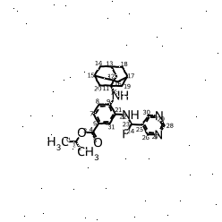 CC(C)OC(=O)c1ccc(NC23CC4CC(CC(C4)C2)C3)c(NC(F)c2cncnc2)c1